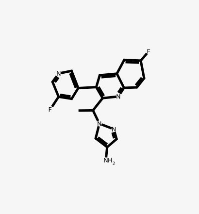 CC(c1nc2ccc(F)cc2cc1-c1cncc(F)c1)n1cc(N)cn1